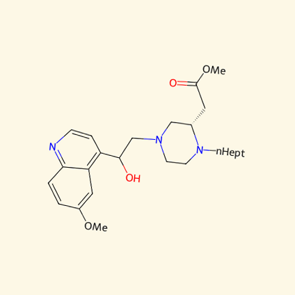 CCCCCCCN1CCN(CC(O)c2ccnc3ccc(OC)cc23)C[C@@H]1CC(=O)OC